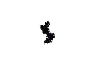 C[Si](C)(C)c1ccc(-c2ccccc2)c(N(c2ccc(C3CCCCC3)cc2)c2ccc3c4cc5c(cc4n4c6ccccc6c2c34)c2ccc(N(c3ccc(C4CCCCC4)cc3)c3cc([Si](C)(C)C)ccc3-c3ccccc3)c3c4ccccc4n5c23)c1